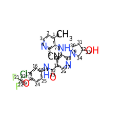 Cc1ccnc(C#N)c1Nc1cc(C(=O)Nc2ccc(OC(F)(F)Cl)cc2)cnc1N1CC[C@@H](O)C1